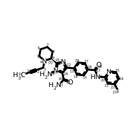 CC#CCN1CCCC[C@H]1c1nc(-c2ccc(C(=O)Nc3cc(I)ccn3)cc2)c(C(N)=O)n1N